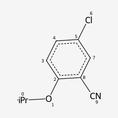 C[C](C)Oc1ccc(Cl)cc1C#N